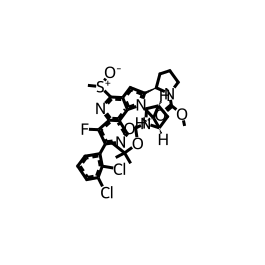 COC(=O)N1CCC[C@@H]1c1cc2c([S+](C)[O-])nc3c(F)c(-c4cccc(Cl)c4Cl)ncc3c2n1[C@H]1[C@@H]2C[C@H]1N(C(=O)OC(C)(C)C)C2